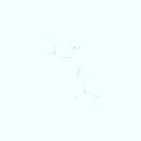 CC(C)(C)OC(=O)NC(C(N)=O)c1cc(C(=N)NO)cs1